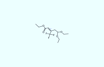 CCOC(=O)/C=C(/CC(OCC)OCC)C(F)(F)F